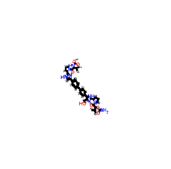 COC(=O)N[C@H](C(=O)N1CCCC1c1nc(-c2ccc(-c3ccc(-c4[nH]c([C@@H]5CCCN5C(=O)[C@@H](OC(N)=O)C(C)C)nc4CO)cc3)cc2)c[nH]1)C(C)C